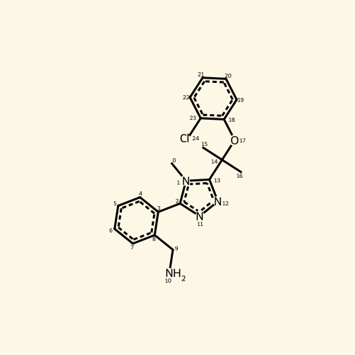 Cn1c(-c2ccccc2CN)nnc1C(C)(C)Oc1ccccc1Cl